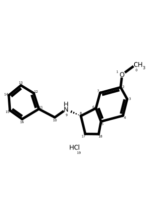 COc1ccc2c(c1)[C@@H](NCc1ccccc1)CC2.Cl